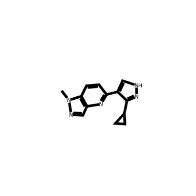 Cn1ncc2nc(-c3c[nH]nc3C3CC3)ccc21